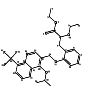 CCOC(=O)C(Cc1ccccc1OCc1cnc2c(C(F)(F)F)cccc2c1OC(C)C)OCC